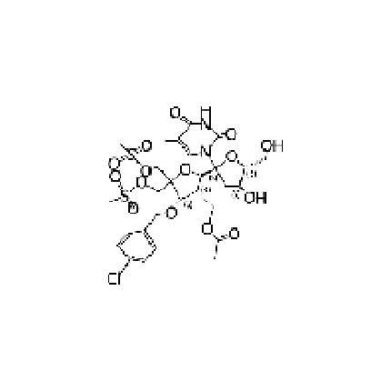 CC(=O)OC[C@H]1C([C@]2(n3cc(C)c(=O)[nH]c3=O)C[C@H](O)[C@@H](CO)O2)OC(COS(C)(=O)=O)(COS(C)(=O)=O)[C@H]1OCc1ccc(Cl)cc1